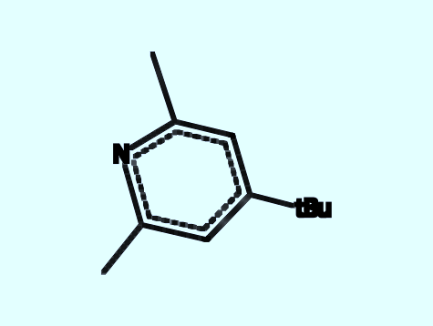 Cc1cc(C(C)(C)C)cc(C)n1